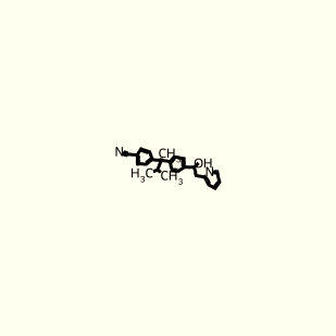 CC(C)C(C)(c1ccc(C#N)cc1)c1ccc(C(O)Cc2ccccn2)cc1